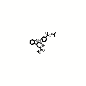 CC(C)COC(=O)c1ccc([C@@H]2N[C@@H](C(=O)N(C)C)Cc3c2[nH]c2ccccc32)cc1